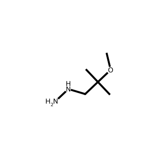 COC(C)(C)CNN